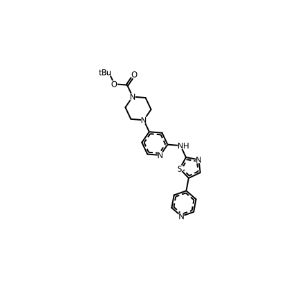 CC(C)(C)OC(=O)N1CCN(c2ccnc(Nc3ncc(-c4ccncc4)s3)c2)CC1